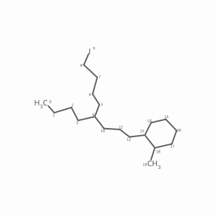 CCCCC(CCCCI)CCCC1CCCCC1C